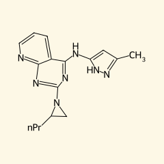 CCCC1CN1c1nc(Nc2cc(C)n[nH]2)c2cccnc2n1